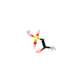 CC(O)=CS(=O)(=O)[O-].[Li+]